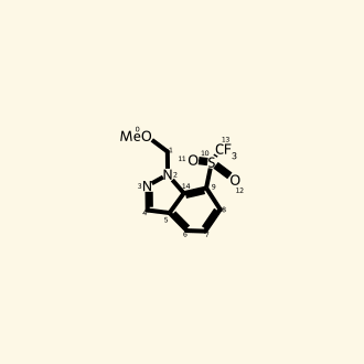 COCn1ncc2cccc(S(=O)(=O)C(F)(F)F)c21